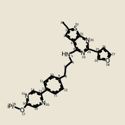 Cc1cc2c(NCCCc3ccc(-c4cnc(OC(C)C)cn4)cc3)nc(-c3ccoc3)nc2s1